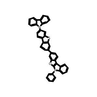 c1ccc(-n2c3ccccc3c3c4ccc(-c5ccc6c(c5)sc5cc(-n7c8ccccc8c8ccccc87)ccc56)cc4oc32)cc1